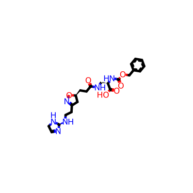 O=C(CC[C@H]1CC(CCN[C@H]2N=CCN2)=NO1)NC[C@H](NC(=O)OCc1ccccc1)C(=O)O